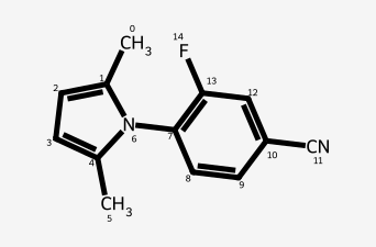 Cc1ccc(C)n1-c1ccc(C#N)cc1F